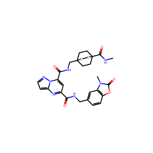 CNC(=O)C12CCC(CNC(=O)c3cc(C(=O)NCc4ccc5oc(=O)n(C)c5c4)nc4ccnn34)(CC1)CC2